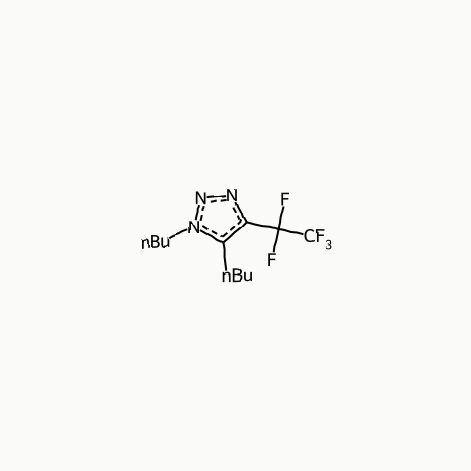 CCCCc1c(C(F)(F)C(F)(F)F)nnn1CCCC